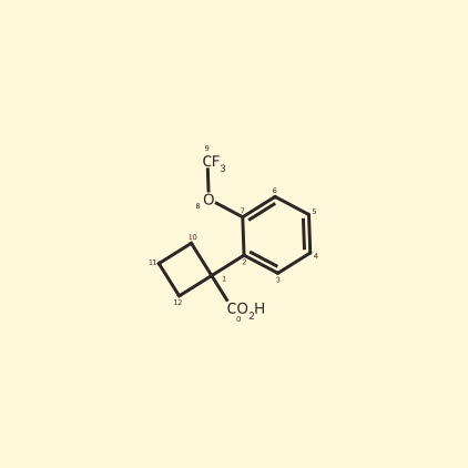 O=C(O)C1(c2ccccc2OC(F)(F)F)CCC1